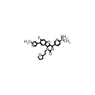 CN(C)c1ccc(-c2nc(=O)n(CCC3CCCO3)c3c2oc2cc(F)c(-c4cnn(C)c4)cc23)cn1